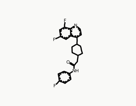 O=C(CC1CCC(c2ccnc3c(F)cc(F)cc23)CC1)Nc1ccc(F)cc1